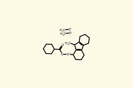 CC1C2=C(CCCC2)C2=C1[CH]([Ti+2][O]C(=O)C1CCCCC1)CCC2.C[O-].C[O-]